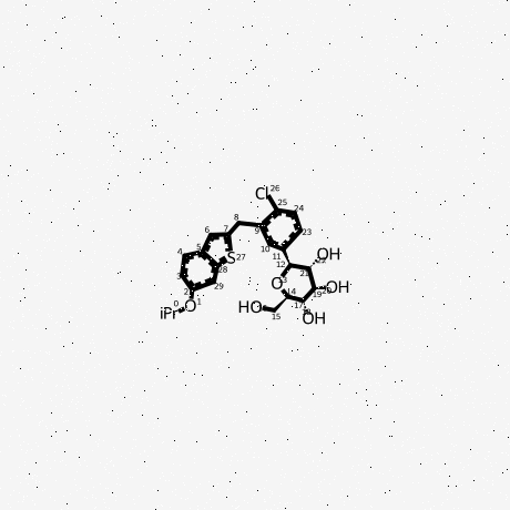 CC(C)Oc1ccc2cc(Cc3cc([C@@H]4O[C@H](CO)[C@@H](O)[C@H](O)[C@H]4O)ccc3Cl)sc2c1